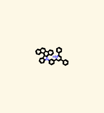 C1=CC2=c3c(c4ccccc4n3-c3cccc(C4C=C(c5ccccc5)C=C(c5ccccc5)N4)c3)=C3c4ccccc4C=CC3C2C=C1